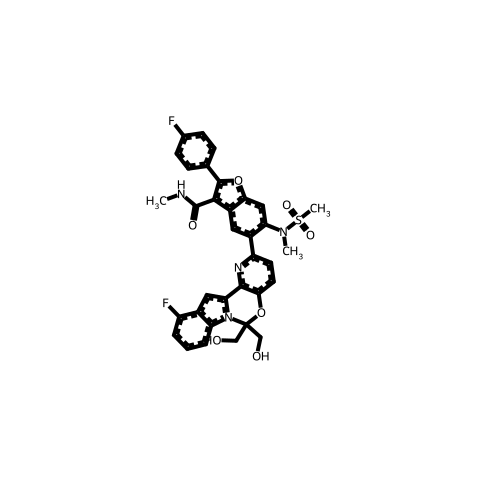 CNC(=O)c1c(-c2ccc(F)cc2)oc2cc(N(C)S(C)(=O)=O)c(-c3ccc4c(n3)-c3cc5c(F)cccc5n3C(CO)(CO)O4)cc12